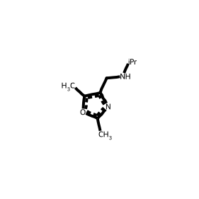 Cc1nc(CNC(C)C)c(C)o1